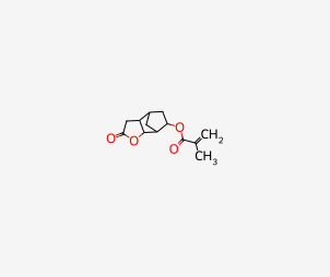 C=C(C)C(=O)OC1CC2CC1C1OC(=O)CC21